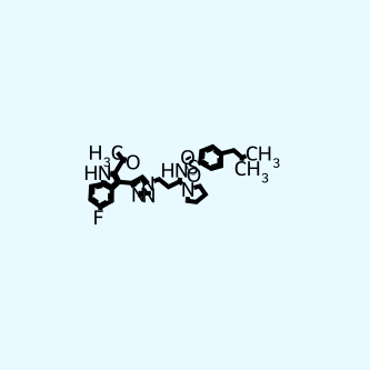 CC(=O)c1[nH]c2ccc(F)cc2c1-c1cn(CCC(NS(=O)(=O)c2ccc(CC(C)C)cc2)N2CCCC2)nn1